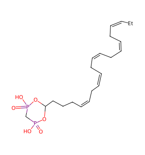 CC/C=C\C/C=C\C/C=C\C/C=C\C/C=C\CCCC1OP(=O)(O)CP(=O)(O)O1